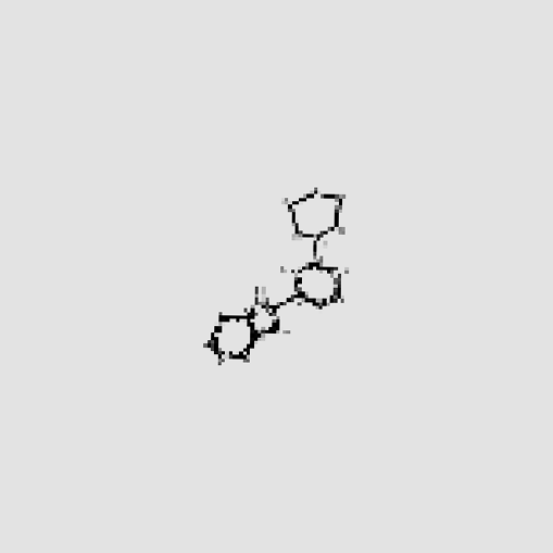 c1ccc2[nH]c(-c3ccnc(N4CCCCC4)n3)cc2c1